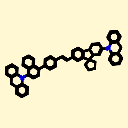 C1=CC2c3ccc(/C=C/c4ccc(-c5ccc(N6c7ccccc7Cc7ccccc76)c6ccccc56)cc4)cc3C3(CCCC3)C2C=C1N1c2ccccc2Cc2ccccc21